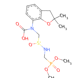 COP(=O)(CN[S+]([O-])CN(C(=O)O)c1cccc2c1OC(C)(C)C2)OC